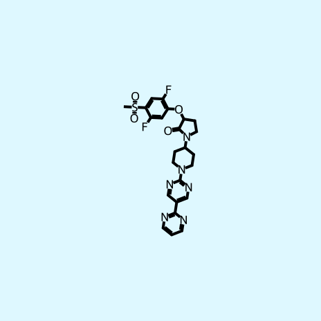 CS(=O)(=O)c1cc(F)c(OC2CCN(C3CCN(c4ncc(-c5ncccn5)cn4)CC3)C2=O)cc1F